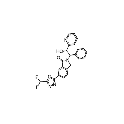 O=C1c2cc(-c3nnc(C(F)F)o3)ccc2CN1[C@H](c1ccccc1)[C@@H](O)c1ccccn1